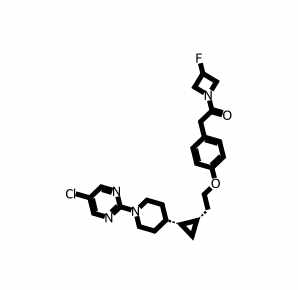 O=C(Cc1ccc(OCC[C@@H]2C[C@@H]2C2CCN(c3ncc(Cl)cn3)CC2)cc1)N1CC(F)C1